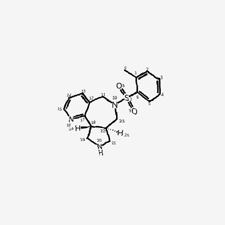 Cc1ccccc1S(=O)(=O)N1Cc2cccnc2[C@H]2CNC[C@@H]2C1